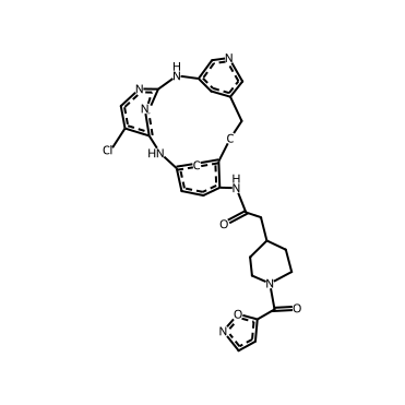 O=C(CC1CCN(C(=O)c2ccno2)CC1)Nc1ccc2cc1CCc1cncc(c1)Nc1ncc(Cl)c(n1)N2